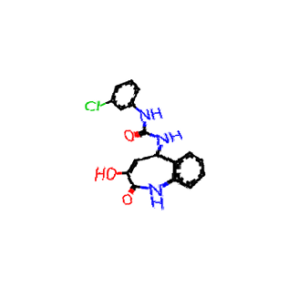 O=C(Nc1cccc(Cl)c1)NC1C=C(O)C(=O)Nc2ccccc21